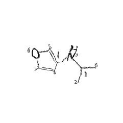 CC(C)Nc1[c]occ1